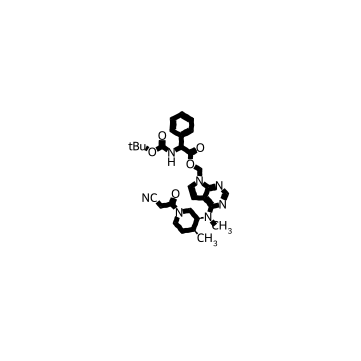 C[C@@H]1CCN(C(=O)CC#N)C[C@@H]1N(C)c1ncnc2c1ccn2COC(=O)C(NC(=O)OC(C)(C)C)c1ccccc1